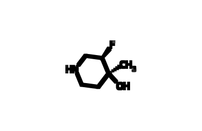 C[C@]1(O)CCNC[C@H]1F